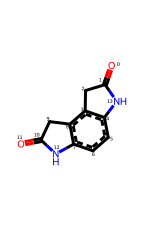 O=C1Cc2c(ccc3c2CC(=O)N3)N1